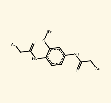 CC(=O)CC(=O)Nc1ccc(NC(=O)CC(C)=O)c(OC(C)C)c1